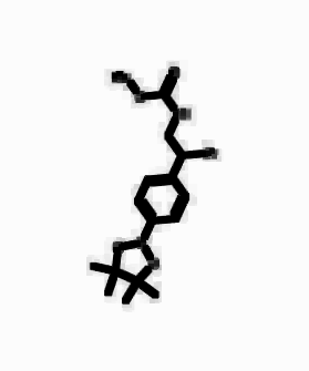 CC(C)C(CNC(=O)OC(C)(C)C)c1ccc(B2OC(C)(C)C(C)(C)O2)cc1